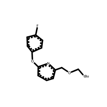 CC(C)(C)COCc1cccc(Oc2ccc(F)cc2)n1